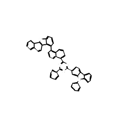 c1ccc(-c2nc(-c3ccc4c5ccccc5n(-c5ccccc5)c4c3)nc(-c3cccc4c(-c5cccc6oc7c8ccccc8ccc7c56)cccc34)n2)cc1